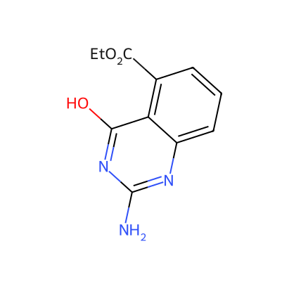 CCOC(=O)c1cccc2nc(N)nc(O)c12